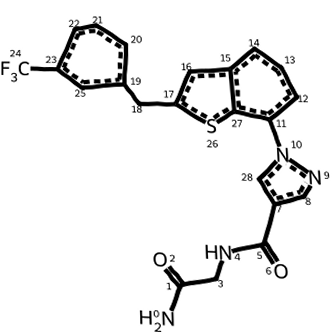 NC(=O)CNC(=O)c1cnn(-c2cccc3cc(Cc4cccc(C(F)(F)F)c4)sc23)c1